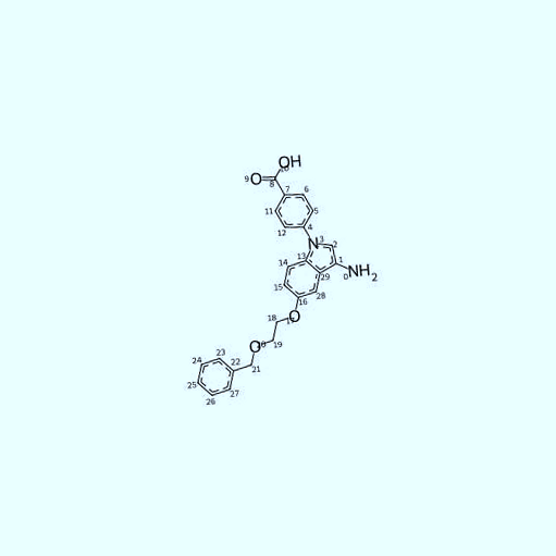 Nc1cn(-c2ccc(C(=O)O)cc2)c2ccc(OCCOCc3ccccc3)cc12